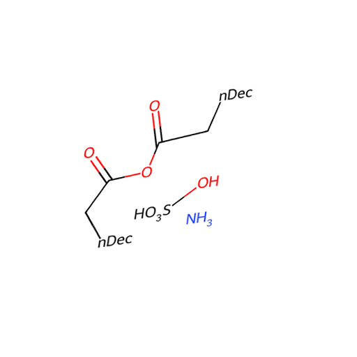 CCCCCCCCCCCC(=O)OC(=O)CCCCCCCCCCC.N.O=S(=O)(O)O